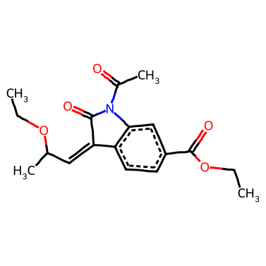 CCOC(=O)c1ccc2c(c1)N(C(C)=O)C(=O)C2=CC(C)OCC